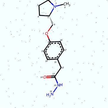 CN1CCC[C@H]1COc1ccc(CC(=O)NN)cc1